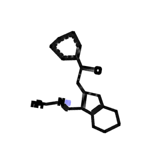 CCC/N=C/C1=C(CC(=O)c2ccccc2)CC2=C1CCCC2